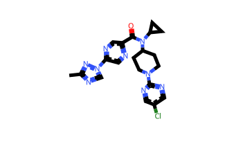 Cc1ncn(-c2cnc(C(=O)N(C3CC3)C3CCN(c4ncc(Cl)cn4)CC3)cn2)n1